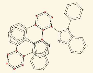 c1ccc(-c2cccc(-c3ccccc3-c3nc4ccccc4n3-c3ccccc3)c2-c2c(-c3ccccc3)cccc2-c2ccccc2-c2nc3ccccc3n2-c2ccccc2)cc1